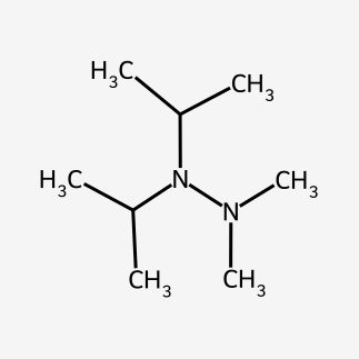 CC(C)N(C(C)C)N(C)C